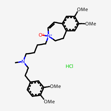 COc1ccc(CCN(C)CCCC[N+]2([O-])C=Cc3cc(OC)c(OC)cc3CC2)cc1OC.Cl